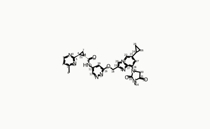 Cc1ccnc([C@H]2C[C@@H]2C(=O)Nc2cnnc(OCc3cn4cc(C5CC5)cc(N5CC(=O)N(C)C5=O)c4n3)c2)n1